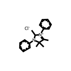 CC1=[N+](c2ccccc2)C(C)N(c2ccccc2)C1(C)C.[Cl-]